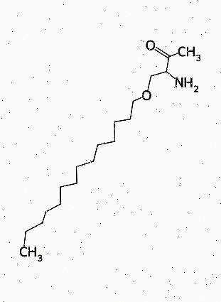 CCCCCCCCCCCCCCOCC(N)C(C)=O